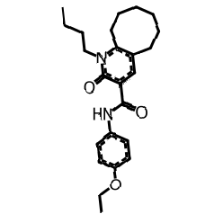 CCCCn1c2c(cc(C(=O)Nc3ccc(OCC)cc3)c1=O)CCCCCC2